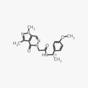 COc1ccc([C@H](C)NC(=O)Cn2ncc3c(c(C)nn3C)c2=O)cc1